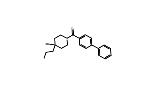 CCCC1(O)CCN(C(=O)c2ccc(-c3ccccc3)cc2)CC1